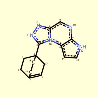 C1=C2CCC(c3nnc4cnc5[nH]ccc5n34)(C1)CC2